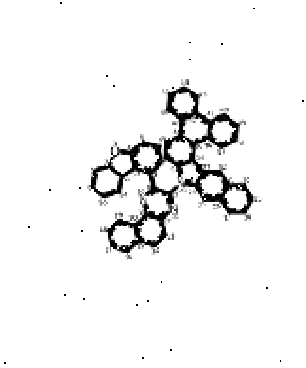 C1=CC2Oc3cccc(-c4nc5c(ccc6ccccc65)nc4-n4c5cc6ccccc6cc5c5c6c7ccccc7c7ccccc7c6ccc54)c3C2C=C1